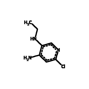 CCNc1cnc(Cl)cc1N